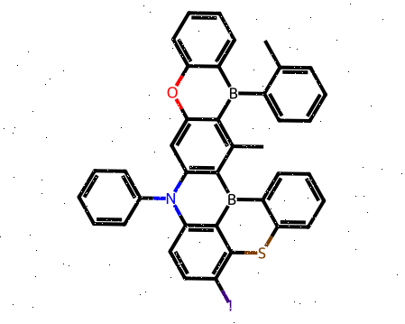 Cc1ccccc1B1c2ccccc2Oc2cc3c(c(C)c21)B1c2ccccc2Sc2c(I)ccc(c21)N3c1ccccc1